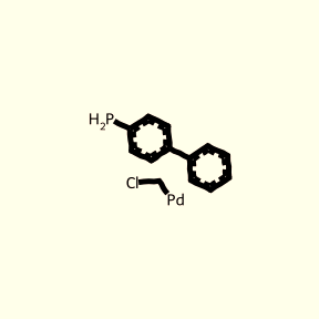 Cl[CH2][Pd].Pc1ccc(-c2ccccc2)cc1